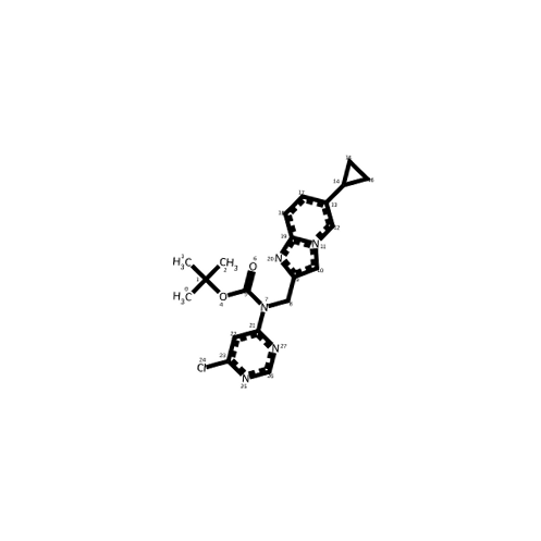 CC(C)(C)OC(=O)N(Cc1cn2cc(C3CC3)ccc2n1)c1cc(Cl)ncn1